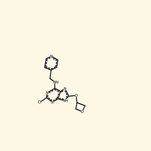 Clc1nc(NCc2ccncc2)c2nc(OC3COC3)[nH]c2n1